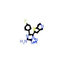 Nc1nc(-c2ccc(F)cc2)c(-c2cc3cnccc3s2)n2nnnc12